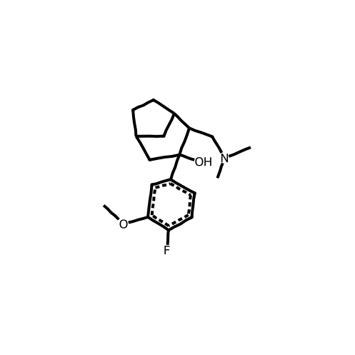 COc1cc(C2(O)CC3CCC(C3)C2CN(C)C)ccc1F